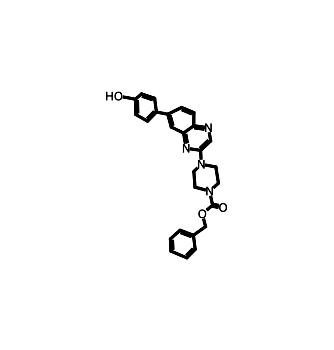 O=C(OCc1ccccc1)N1CCN(c2cnc3ccc(-c4ccc(O)cc4)cc3n2)CC1